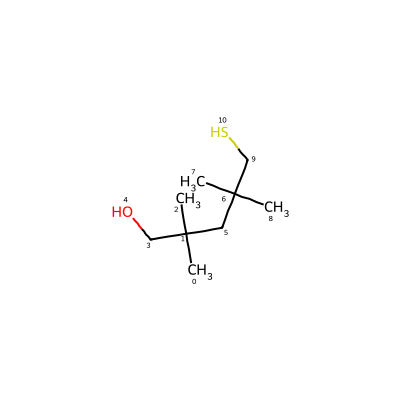 CC(C)(CO)CC(C)(C)CS